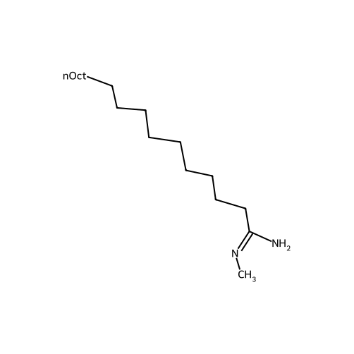 CCCCCCCCCCCCCCCCCC(N)=NC